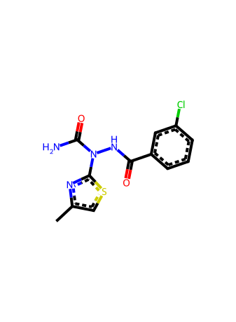 Cc1csc(N(NC(=O)c2cccc(Cl)c2)C(N)=O)n1